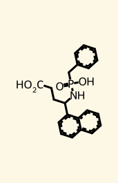 O=C(O)CCC(NP(=O)(O)Cc1ccccc1)c1cccc2ccccc12